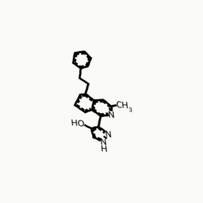 Cc1cc2c(CCc3ccccc3)cccc2c(-c2n[nH]cc2O)n1